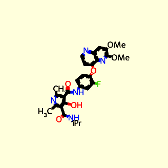 COc1cc2nccc(Oc3ccc(NC(=O)c4c(C)nc(C)c(C(=O)NC(C)C)c4O)cc3F)c2nc1OC